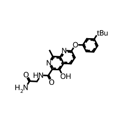 Cc1nc(C(=O)NCC(N)=O)c(O)c2ccc(Oc3cccc(C(C)(C)C)c3)nc12